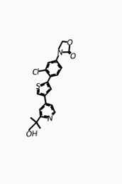 CC(C)(CO)c1cc(-c2csc(-c3ccc(N4CCOC4=O)cc3Cl)c2)ccn1